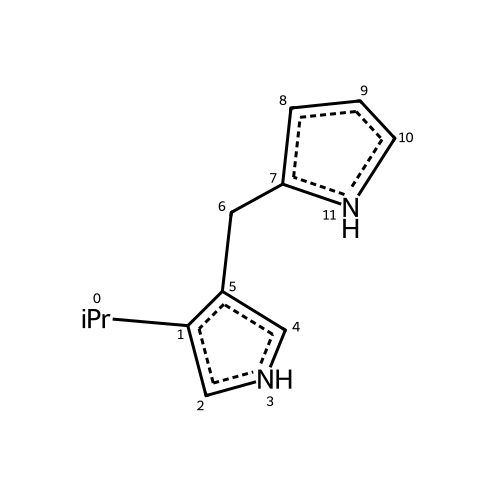 CC(C)c1c[nH]cc1Cc1ccc[nH]1